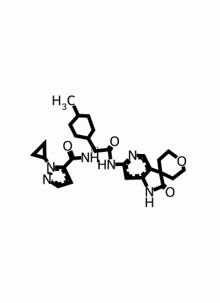 CC1CCC([C@H](NC(=O)c2ccnn2C2CC2)C(=O)Nc2cc3c(cn2)C2(CCOCC2)C(=O)N3)CC1